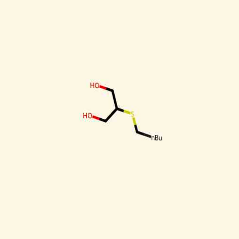 CCCCCSC(CO)CO